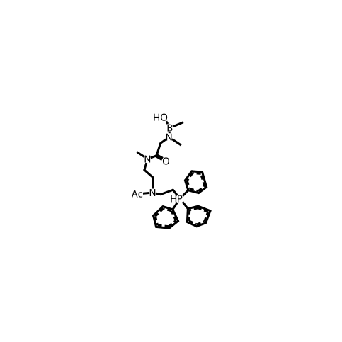 CB(O)N(C)CC(=O)N(C)CCN(CC[PH](c1ccccc1)(c1ccccc1)c1ccccc1)C(C)=O